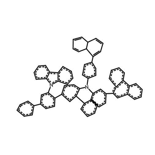 C1=CC2C=CC=C(c3ccc(N(c4cccc(-c5cc6ccccc6c6ccccc56)c4)c4ccc(-c5ccc(-c6ccccc6)cc5-n5c6ccccc6c6ccccc65)cc4-c4ccccc4)cc3)C2C=C1